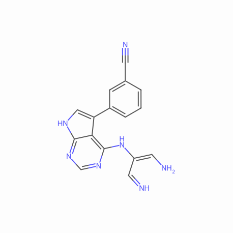 N#Cc1cccc(-c2c[nH]c3ncnc(N/C(C=N)=C/N)c23)c1